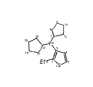 CCc1sccc1P(C1CCCC1)C1CCCC1